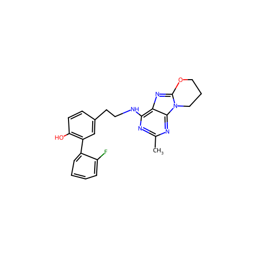 Cc1nc(NCCc2ccc(O)c(-c3ccccc3F)c2)c2nc3n(c2n1)CCCO3